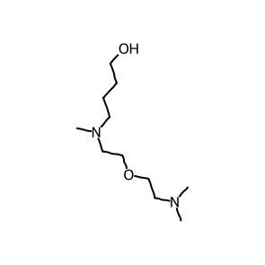 CN(C)CCOCCN(C)CCCCO